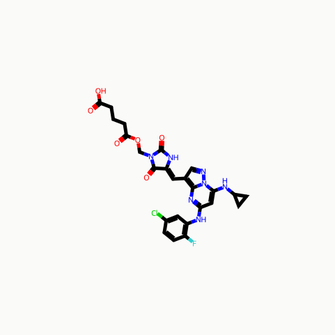 O=C(O)CCCC(=O)OCN1C(=O)N/C(=C\c2cnn3c(NC4CC4)cc(Nc4cc(Cl)ccc4F)nc23)C1=O